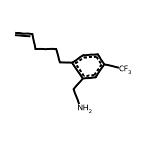 C=CCCCc1ccc(C(F)(F)F)cc1CN